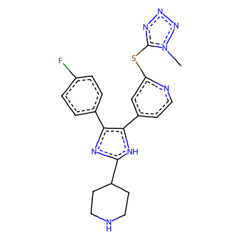 Cn1nnnc1Sc1cc(-c2[nH]c(C3CCNCC3)nc2-c2ccc(F)cc2)ccn1